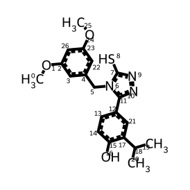 COc1cc(Cn2c(S)nnc2-c2ccc(O)c(C(C)C)c2)cc(OC)c1